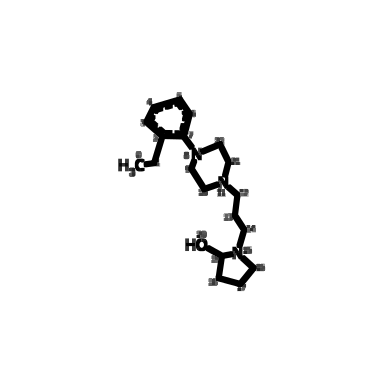 CCc1ccccc1N1CCN(CCCN2CCCC2O)CC1